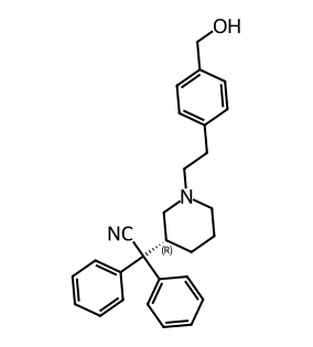 N#CC(c1ccccc1)(c1ccccc1)[C@H]1CCCN(CCc2ccc(CO)cc2)C1